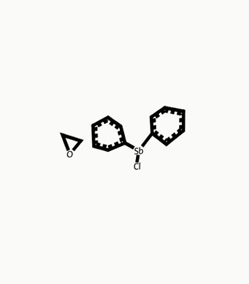 C1CO1.[Cl][Sb]([c]1ccccc1)[c]1ccccc1